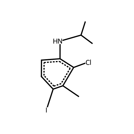 Cc1c(I)ccc(NC(C)C)c1Cl